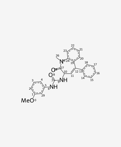 COc1cccc(NC(=O)NC2C=C(c3ccccc3)c3ccccc3N(C)C2=O)c1